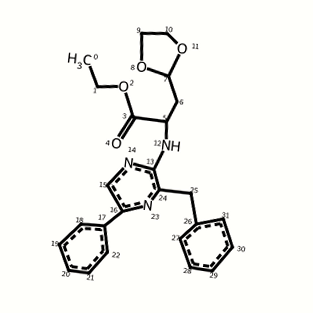 CCOC(=O)C(CC1OCCO1)Nc1ncc(-c2ccccc2)nc1Cc1ccccc1